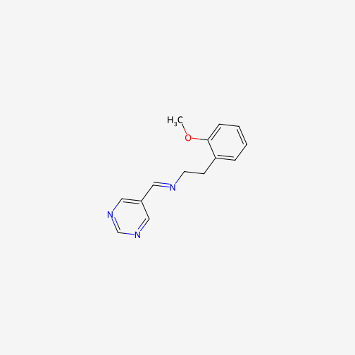 COc1ccccc1CCN=Cc1cncnc1